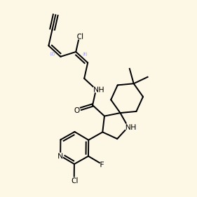 C#C/C=C\C(Cl)=C/CNC(=O)C1C(c2ccnc(Cl)c2F)CNC12CCC(C)(C)CC2